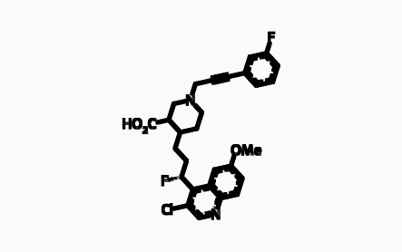 COc1ccc2ncc(Cl)c([C@H](F)CCC3CCN(CC#Cc4cccc(F)c4)CC3C(=O)O)c2c1